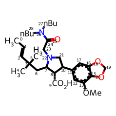 CC=CC(C)(C)CC1C(C(=O)O)C(c2cc(OC)c3c(c2)OCO3)CN1CC(=O)N(CCCC)CCCC